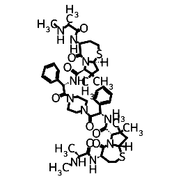 CN[C@@H](C)C(=O)N[C@H]1CCS[C@H]2CC(C)(C)[C@@H](C(=O)N[C@H](C(=O)N3CCN(C(=O)[C@@H](NC(=O)[C@H]4N5C(=O)[C@@H](NC(=O)[C@H](C)NC)CCS[C@H]5CC4(C)C)c4ccccc4)CC3)c3ccccc3)N2C1=O